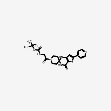 CC(C)(C)OC(=O)NCC(=O)N1CCC2(CC1)NC(=O)c1sc(-c3ccncc3)cc1N2